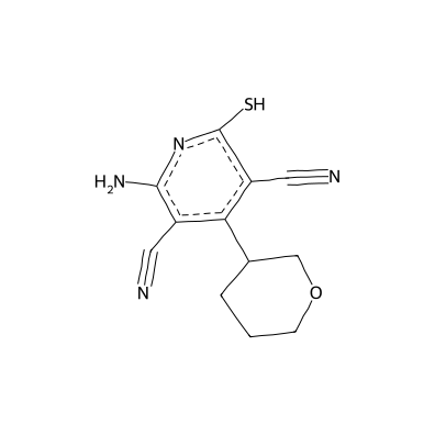 N#Cc1c(N)nc(S)c(C#N)c1C1CCCOC1